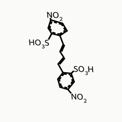 O=[N+]([O-])c1ccc(C=CC=Cc2ccc([N+](=O)[O-])cc2S(=O)(=O)O)c(S(=O)(=O)O)c1